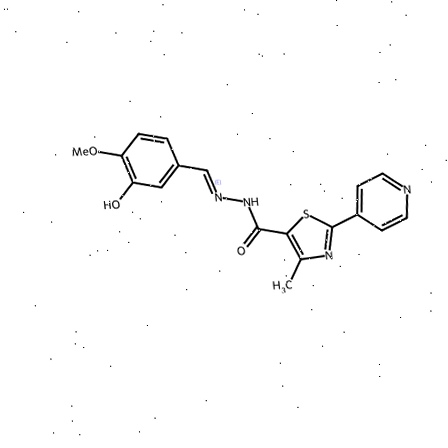 COc1ccc(/C=N/NC(=O)c2sc(-c3ccncc3)nc2C)cc1O